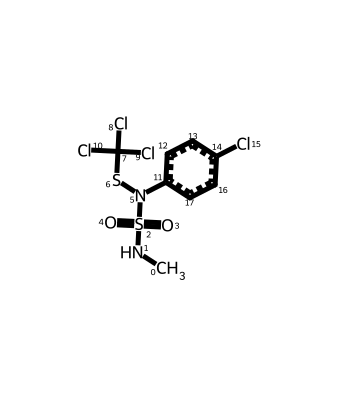 CNS(=O)(=O)N(SC(Cl)(Cl)Cl)c1ccc(Cl)cc1